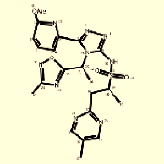 COc1cccc(-c2nnc(NS(=O)(=O)[C@@H](C)Cc3ncc(C)cn3)n2[C@@H](C)c2nc(C)no2)n1